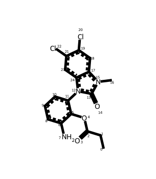 CCC(=O)Oc1c(N)cccc1-n1c(=O)n(C)c2cc(Cl)c(Cl)cc21